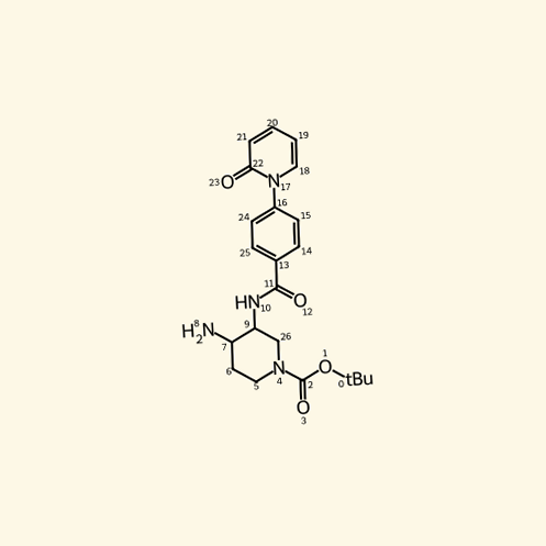 CC(C)(C)OC(=O)N1CCC(N)C(NC(=O)c2ccc(-n3ccccc3=O)cc2)C1